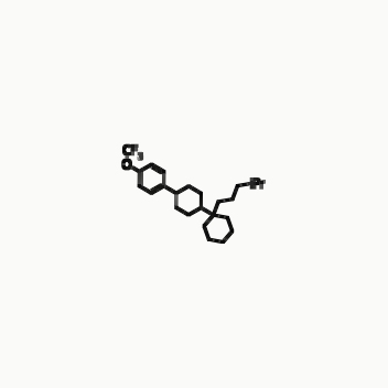 CC(C)CCCC1(C2CCC(c3ccc(OC(F)(F)F)cc3)CC2)CCCCC1